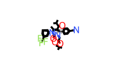 CC1=C(C(=O)C(C)C)[C@@H](c2ccc(C#N)cc2)N(CC(=O)OC(C)(C)C)C(=O)N1c1cccc(C(F)(F)F)c1